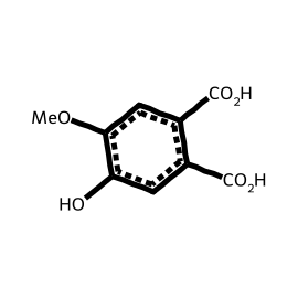 COc1cc(C(=O)O)c(C(=O)O)cc1O